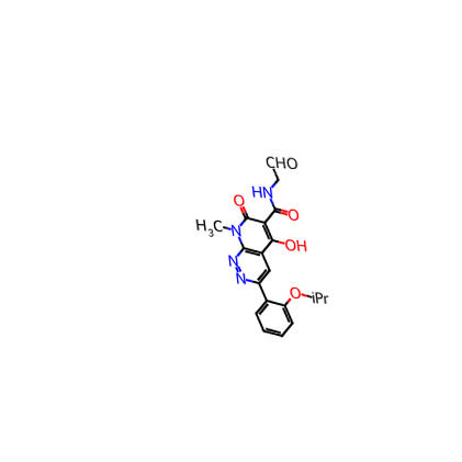 CC(C)Oc1ccccc1-c1cc2c(O)c(C(=O)NCC=O)c(=O)n(C)c2nn1